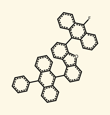 Fc1c2ccccc2c(-c2cccc3c2oc2cccc(-c4c5ccccc5c(-c5ccccc5)c5ccccc45)c23)c2ccccc12